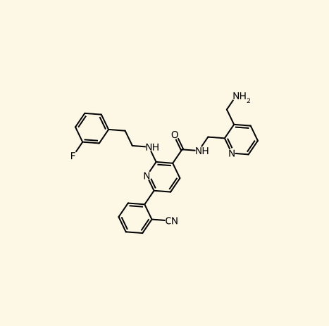 N#Cc1ccccc1-c1ccc(C(=O)NCc2ncccc2CN)c(NCCc2cccc(F)c2)n1